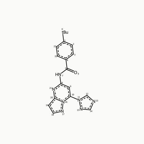 CC(C)(C)c1ccc(C(=O)Nc2cc(-n3cncn3)n3nccc3n2)cc1